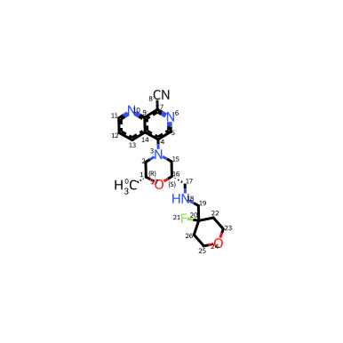 C[C@@H]1CN(c2cnc(C#N)c3ncccc23)C[C@H](CNCC2(F)CCOCC2)O1